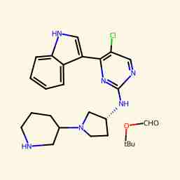 CC(C)(C)OC=O.Clc1cnc(N[C@@H]2CCN(C3CCCNC3)C2)nc1-c1c[nH]c2ccccc12